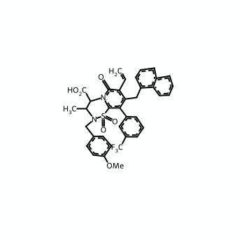 C=Cc1c(Cc2cccc3ccccc23)c(-c2cccc(C(F)(F)F)c2)c2n(c1=O)C(C(=O)O)C(C)N(Cc1ccc(OC)cc1)S2(=O)=O